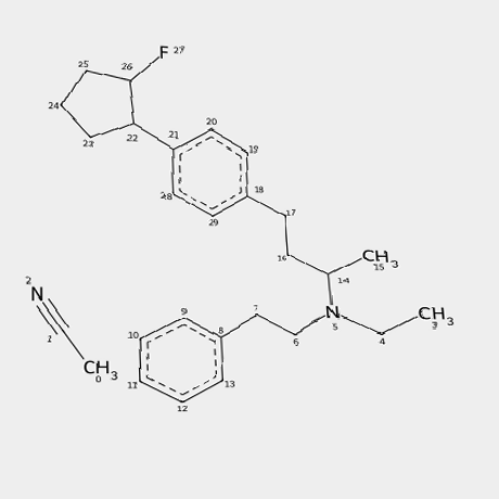 CC#N.CCN(CCc1ccccc1)C(C)CCc1ccc(C2CCCC2F)cc1